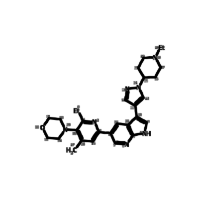 CCc1nc(-c2cnc3[nH]cc(-c4cnn(C5CCN(CC)CC5)c4)c3c2)cc(C)c1N1CCOCC1